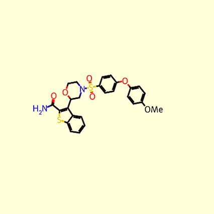 COc1ccc(Oc2ccc(S(=O)(=O)N3CCOC(c4c(C(N)=O)sc5ccccc45)C3)cc2)cc1